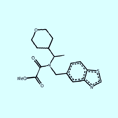 COC(=O)C(=O)N(Cc1ccc2scnc2c1)C(C)C1CCOCC1